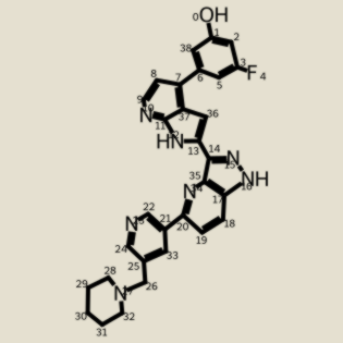 Oc1cc(F)cc(-c2ccnc3[nH]c(-c4n[nH]c5ccc(-c6cncc(CN7CCCCC7)c6)nc45)cc23)c1